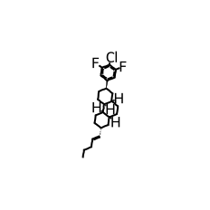 CCCC=C[C@@H]1CC[C@H]2[C@H](CC[C@H]3C[C@H](c4cc(F)c(Cl)c(F)c4)CC[C@@H]32)C1